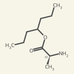 CCCC(CCC)OC(=O)[C@H](C)N